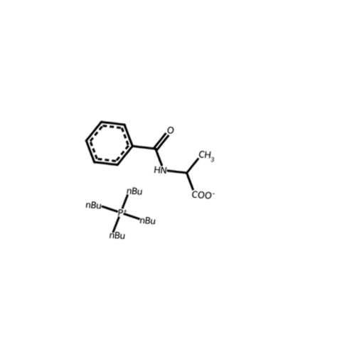 CC(NC(=O)c1ccccc1)C(=O)[O-].CCCC[P+](CCCC)(CCCC)CCCC